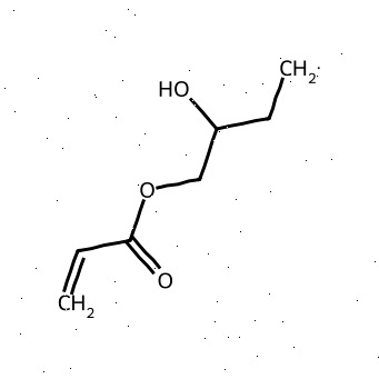 [CH2]CC(O)COC(=O)C=C